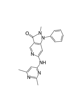 Cc1cc(Nc2cc3c(cn2)c(=O)n(C)n3-c2ccccc2)nc(C)n1